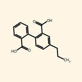 CCCc1ccc(-c2ccccc2C(=O)O)c(C(=O)O)c1